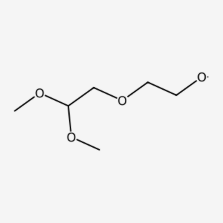 COC(COCC[O])OC